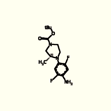 C[C@@H]1CN(C(=O)OC(C)(C)C)CCN1c1cc(F)c(N)cc1F